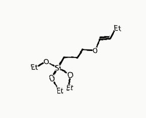 CCC=COCCC[Si](OCC)(OCC)OCC